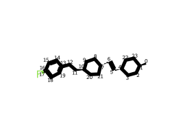 C[C@H]1CC[C@H](/C=C/[C@H]2CC[C@H](CCc3ccc(F)cc3)CC2)CC1